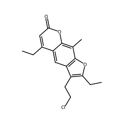 CCc1oc2c(C)c3oc(=O)cc(CC)c3cc2c1CCCl